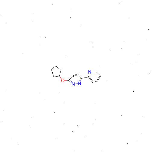 c1ccc(-c2ccc(OC3CCCC3)nn2)nc1